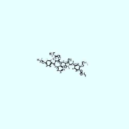 COc1ccc(C2Sc3ccccc3N(CC(C)N(C)CCc3ccc(OC)c(OC)c3)C(=O)C2OC(C)=O)cc1